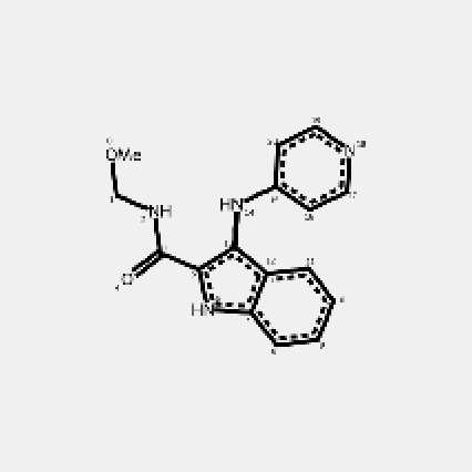 COCNC(=O)c1[nH]c2ccccc2c1Nc1ccncc1